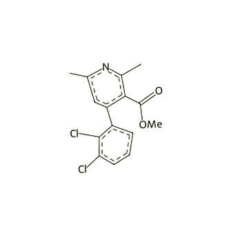 COC(=O)c1c(-c2cccc(Cl)c2Cl)cc(C)nc1C